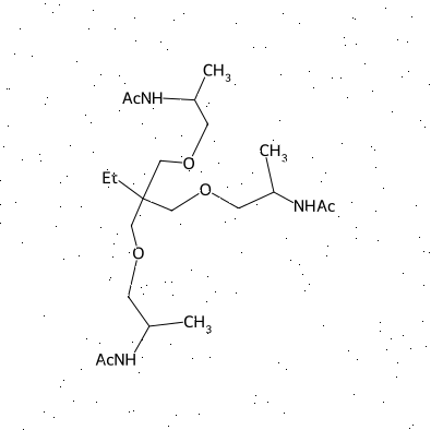 CCC(COCC(C)NC(C)=O)(COCC(C)NC(C)=O)COCC(C)NC(C)=O